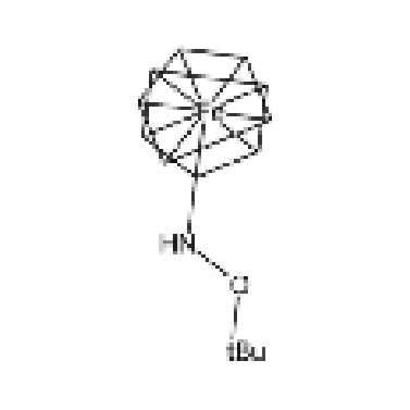 CC(C)(C)ON[C]12[CH]3[CH]4[CH]5[CH]1[Fe]45321678[CH]2[CH]1[CH]6[CH]7[CH]28